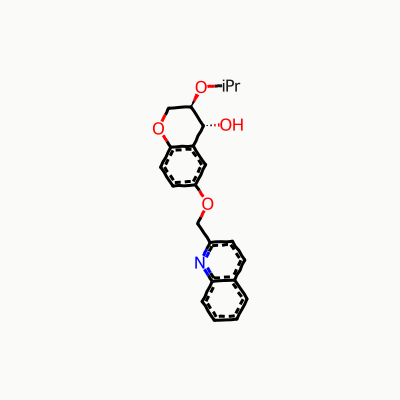 CC(C)O[C@@H]1COc2ccc(OCc3ccc4ccccc4n3)cc2[C@H]1O